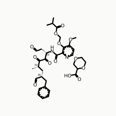 COc1ccnc(C(=O)N[C@@H](CC=O)C(=O)C(=O)[C@@H](C)C[C@@H](C=O)Cc2ccccc2)c1OCOC(=O)C(C)C.O=C(O)C1COCCO1